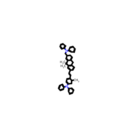 CC1CC(N(c2ccccc2)c2ccccc2)=CC=C1/C=C/c1ccc2c(c1)C(C)(C)C1=CC(CN(c3ccccc3)c3ccccc3)CC=C1C2